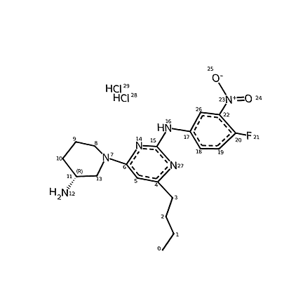 CCCCc1cc(N2CCC[C@@H](N)C2)nc(Nc2ccc(F)c([N+](=O)[O-])c2)n1.Cl.Cl